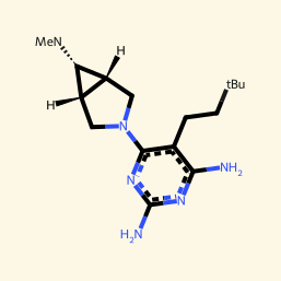 CN[C@@H]1[C@@H]2CN(c3nc(N)nc(N)c3CCC(C)(C)C)C[C@@H]21